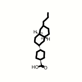 CCCC1CC[C@@H]2CC([C@H]3CC[C@H](C(=O)O)CC3)CC[C@H]2C1